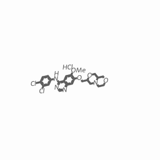 COc1cc2c(Nc3ccc(Cl)c(Cl)c3)ncnc2cc1OCC1CN2CCOCC2CO1.Cl